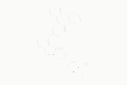 CC1(C)OB(c2ccc3c(c2)oc2cccc(-c4ccc5c6c(c7ccccc7c5c4)=CCCC=6)c23)OC1(C)C